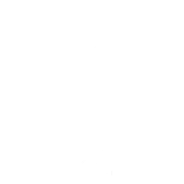 C=C(CCCCCCCCCSc1ccccc1)C(=O)O